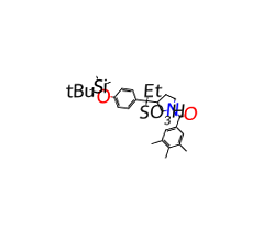 CCC(c1ccc(O[Si](C)(C)C(C)(C)C)cc1)(C1CCN(C(=O)c2cc(C)c(C)c(C)c2)C1)S(=O)(=O)O